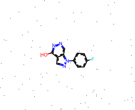 Oc1nncc2c1cnn2-c1ccc(F)cc1